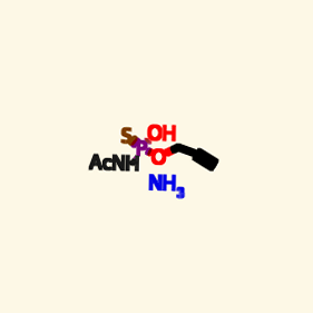 C#CCO[P@](O)(=S)NC(C)=O.N